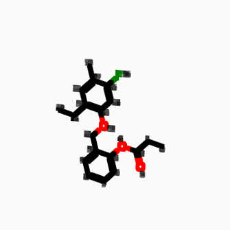 CCC(=O)Oc1ccccc1COc1cc(F)c(C)cc1CC